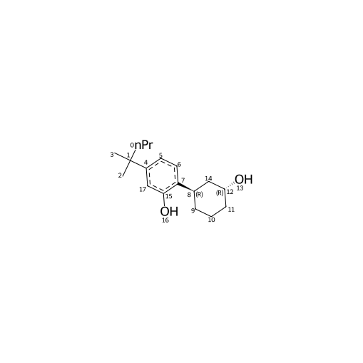 CCCC(C)(C)c1ccc([C@@H]2CCC[C@@H](O)C2)c(O)c1